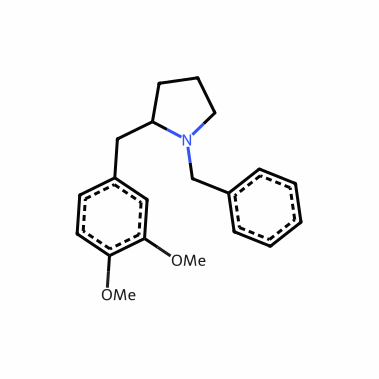 COc1ccc(CC2CCCN2Cc2ccccc2)cc1OC